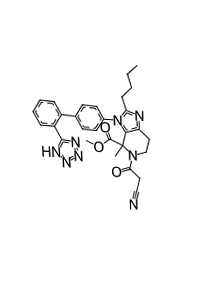 CCCCc1nc2c(n1-c1ccc(-c3ccccc3-c3nnn[nH]3)cc1)C(C)(C(=O)OC)N(C(=O)CC#N)CC2